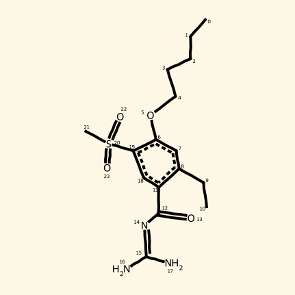 CCCCCOc1cc(CC)c(C(=O)N=C(N)N)cc1S(C)(=O)=O